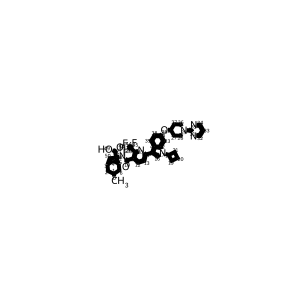 CC1CC2CC(C1)C(NC(=O)c1ccc(-c3cn(C4CCC4)c4cc(OC5CCN(c6ncccn6)CC5)ccc34)nc1C(F)(F)F)(C(=O)O)C2